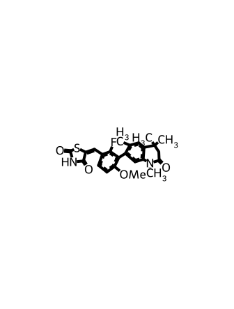 COc1ccc(C=C2SC(=O)NC2=O)c(F)c1-c1cc2c(cc1C)C(C)(C)CC(=O)N2C